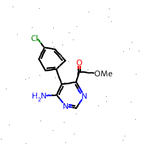 COC(=O)c1ncnc(N)c1-c1ccc(Cl)cc1